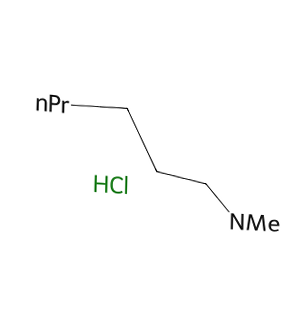 CCCCCCNC.Cl